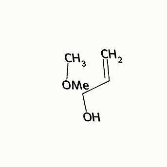 C=CCO.COC